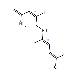 C=C(N)/C=C(/I)CN/C(C)=C/C=C(\C)Cl